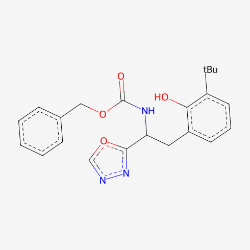 CC(C)(C)c1cccc(CC(NC(=O)OCc2ccccc2)c2nnco2)c1O